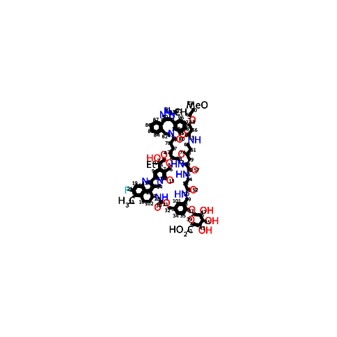 CC[C@@]1(O)C(=O)OCc2c1cc1n(c2=O)Cc2c-1nc1cc(F)c(C)c3c1c2[C@@H](NC(=O)OCc1ccc(O[C@@H]2O[C@H](C(=O)O)[C@@H](O)[C@H](O)[C@H]2O)c(CNC(=O)CCNC(=O)[C@H](CCCCNC(=O)CCOCCOC)NC(=O)CCCCC(=O)N2Cc4ccccc4-c4nnn(C)c4-c4ccccc42)c1)CC3